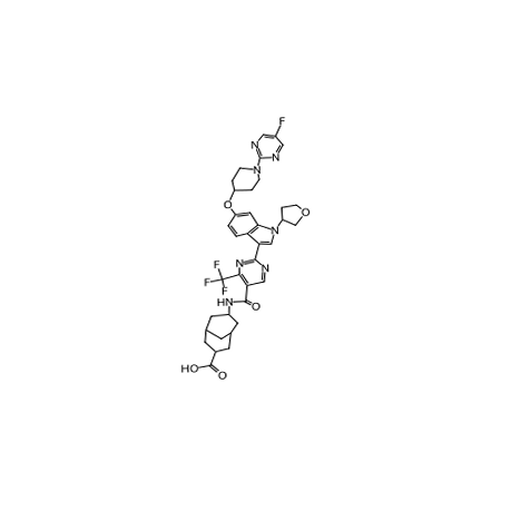 O=C(NC1CC2CC(C1)CC(C(=O)O)C2)c1cnc(-c2cn(C3CCOC3)c3cc(OC4CCN(c5ncc(F)cn5)CC4)ccc23)nc1C(F)(F)F